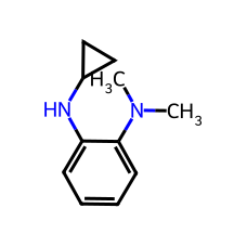 CN(C)c1ccccc1NC1CC1